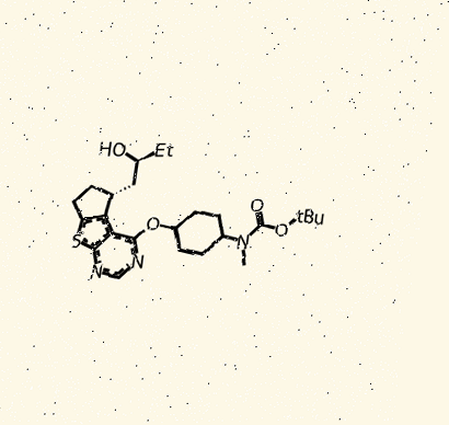 CC[C@H](O)C[C@H]1CCc2sc3ncnc(OC4CCC(N(C)C(=O)OC(C)(C)C)CC4)c3c21